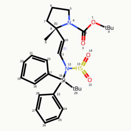 CC(C)(C)OC(=O)N1CCC[C@@]1(C)/C=C/N([SH](=O)=O)[Si](c1ccccc1)(c1ccccc1)C(C)(C)C